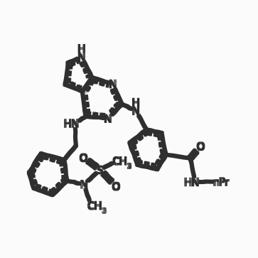 CCCNC(=O)c1cccc(Nc2nc(NCc3ccccc3N(C)S(C)(=O)=O)c3cc[nH]c3n2)c1